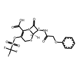 O=C(COc1ccccc1)N[C@@H]1C(=O)N2C(C(=O)O)=C(OS(=O)(=O)C(F)(F)F)CS[C@H]12